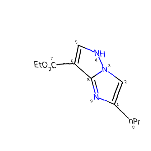 CCCc1cn2[nH]cc(C(=O)OCC)c2n1